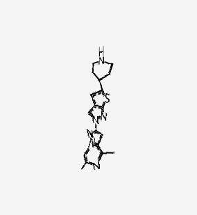 Cc1cn2nc(-n3cc4cc(C5CCNCC5)sc4n3)cc2c(C)n1